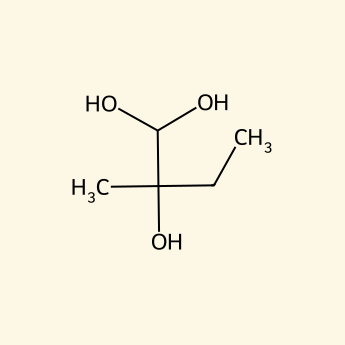 CCC(C)(O)C(O)O